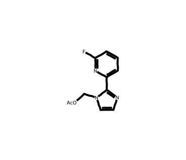 CC(=O)OCn1ccnc1-c1cccc(F)n1